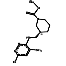 CC(C)(C)OC(=O)N1CCC[C@@H](CNc2nnc(Cl)cc2N)C1